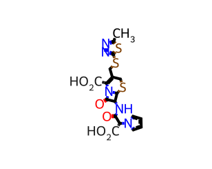 Cc1nnc(SCC2=C(C(=O)O)N3C(=O)C(NC(=O)C(C(=O)O)n4cccc4)C3SC2)s1